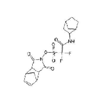 O=C1C2C3C=CC(C3)C2C(=O)N1OS(=O)(=O)C(F)(F)C(=O)NC1CC2CCC1C2